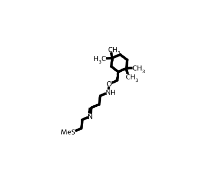 CSCC/N=C/CCNOCC1CC(C)(C)CCC1(C)C